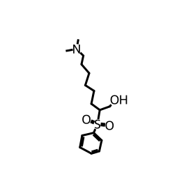 CN(C)CCCCCCC(CO)S(=O)(=O)c1ccccc1